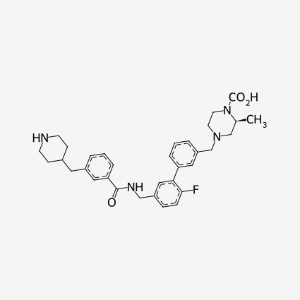 C[C@H]1CN(Cc2cccc(-c3cc(CNC(=O)c4cccc(CC5CCNCC5)c4)ccc3F)c2)CCN1C(=O)O